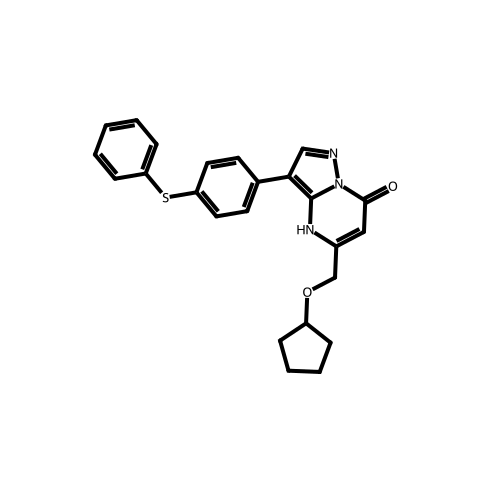 O=c1cc(COC2CCCC2)[nH]c2c(-c3ccc(Sc4ccccc4)cc3)cnn12